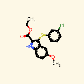 CCOC(=O)c1[nH]c2ccc(OC)cc2c1Sc1cccc(Cl)c1